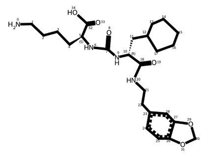 NCCCC[C@H](NC(=O)N[C@H](CC1CCCCC1)C(=O)NCCc1ccc2c(c1)OCO2)C(=O)O